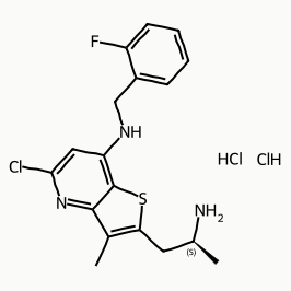 Cc1c(C[C@H](C)N)sc2c(NCc3ccccc3F)cc(Cl)nc12.Cl.Cl